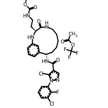 CC(=O)OC(F)(F)F.CC(C)(C)OC(=O)NCC[C@@H]1Nc2cccc(c2)[C@@H](NC(=O)c2cnn(-c3cccc(Cl)c3F)c2Cl)CCCCCNC1=O